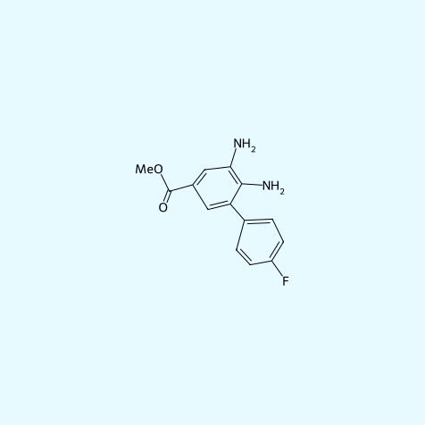 COC(=O)c1cc(N)c(N)c(-c2ccc(F)cc2)c1